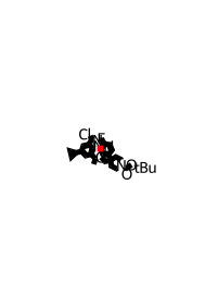 CC(OCC1(c2ccc(F)cc2)CCN(C(=O)OC(C)(C)C)CC1)c1cc(C2CC2)cc2c(Cl)n[nH]c12